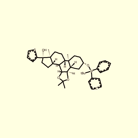 CC1(C)O[C@H]2[C@H](O1)[C@H]1C[C@@H](O[Si](c3ccccc3)(c3ccccc3)C(C)(C)C)CC[C@]1(C)[C@H]1CC[C@@]3(C)[C@@H](CC[C@@]3(O)c3cccs3)[C@H]21